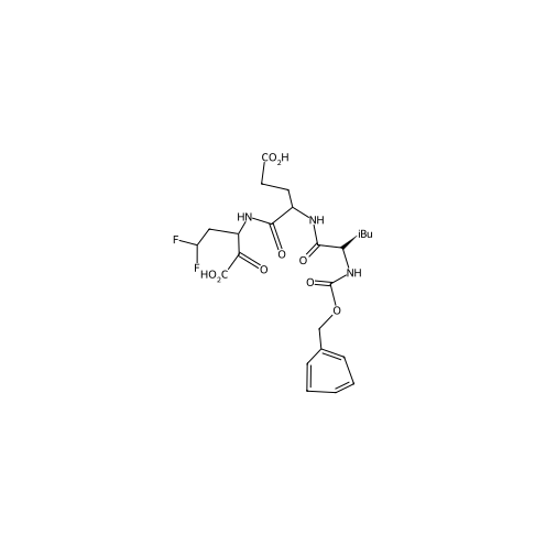 CC[C@H](C)C(NC(=O)OCc1ccccc1)C(=O)NC(CCC(=O)O)C(=O)NC(CC(F)F)C(=O)C(=O)O